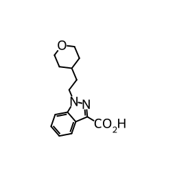 O=C(O)c1nn(CCC2CCOCC2)c2ccccc12